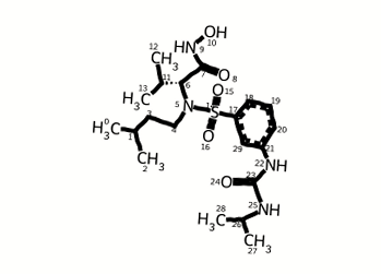 CC(C)CCN([C@@H](C(=O)NO)C(C)C)S(=O)(=O)c1cccc(NC(=O)NC(C)C)c1